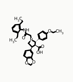 CCOc1ccc([C@@H]2[C@@H](C(=O)O)[C@@H](c3ccc4c(c3)OCO4)CN2CC(=O)Nc2c(CC)cccc2CC)cc1